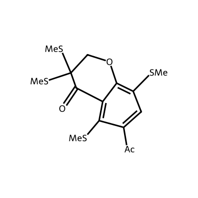 CSc1cc(C(C)=O)c(SC)c2c1OCC(SC)(SC)C2=O